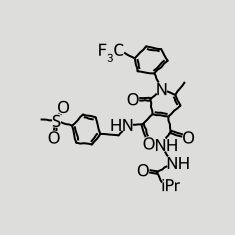 Cc1cc(C(=O)NNC(=O)C(C)C)c(C(=O)NCc2ccc(S(C)(=O)=O)cc2)c(=O)n1-c1cccc(C(F)(F)F)c1